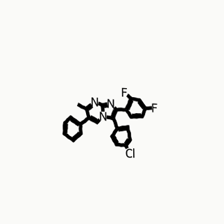 Cc1nc2nc(-c3ccc(F)cc3F)c(-c3ccc(Cl)cc3)n2cc1-c1ccccc1